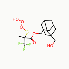 CC(SOOO)(C(=O)OCC12CC3CC(CC(CO)(C3)C1)C2)C(F)(F)F